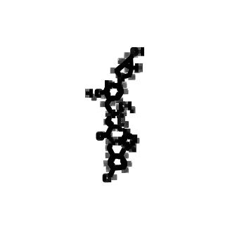 C=NN(/C=C(\C)C(=O)NCc1cc(Cl)ccc1-n1cnnn1)Cc1ccc(N2CC3[C@@H](O)[C@@H]3C2)nc1C